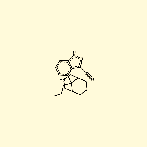 CCCC1(c2cccc3[nH]nc(C#N)c23)C2CCCC1CNC2